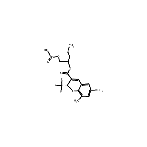 COCC(CO[N+](=O)O)OC(=O)C1=Cc2cc(C)cc(C)c2O[C@@H]1C(F)(F)F